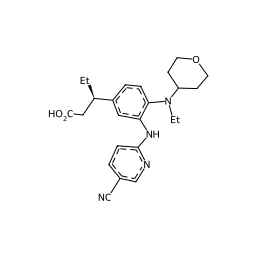 CC[C@H](CC(=O)O)c1ccc(N(CC)C2CCOCC2)c(Nc2ccc(C#N)cn2)c1